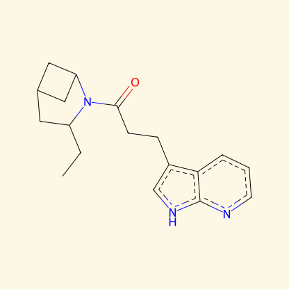 CCC1CC2CC(C2)N1C(=O)CCc1c[nH]c2ncccc12